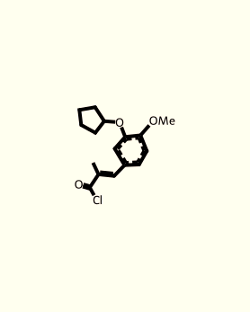 COc1ccc(/C=C(\C)C(=O)Cl)cc1OC1CCCC1